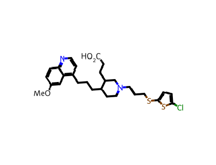 COc1ccc2nccc(CCCC3CCN(CCCSc4ccc(Cl)s4)CC3CCC(=O)O)c2c1